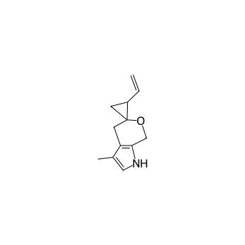 C=CC1CC12Cc1c(C)c[nH]c1CO2